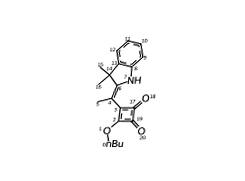 CCCCOc1c(C(C)=C2Nc3ccccc3C2(C)C)c(=O)c1=O